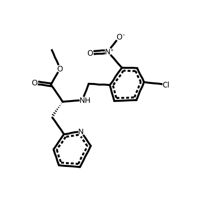 COC(=O)[C@@H](Cc1ccccn1)NCc1ccc(Cl)cc1[N+](=O)[O-]